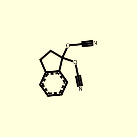 N#COC1(OC#N)CCc2ccccc21